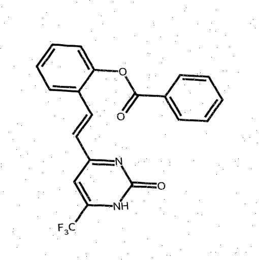 O=C(Oc1ccccc1C=Cc1cc(C(F)(F)F)[nH]c(=O)n1)c1ccccc1